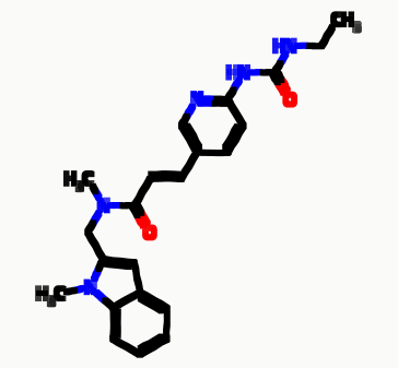 CCNC(=O)Nc1ccc(C=CC(=O)N(C)Cc2cc3ccccc3n2C)cn1